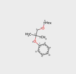 CCCCCCOCC(C)(C)Oc1cc[c]cc1